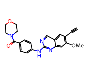 C#Cc1cc2cnc(Nc3ccc(C(=O)N4CCOCC4)cc3)nc2cc1OC